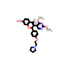 COc1ncc(C2=C(C)c3ccc(O)cc3OC2c2ccc(OCCN3CCCC3)cc2)c(OC)n1